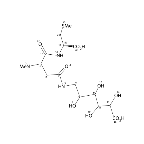 CNC(CC(=O)NCC(O)C(O)C(O)C(O)C(=O)O)C(=O)N[C@@H](CSC)C(=O)O